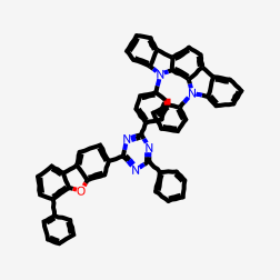 c1ccc(-c2nc(-c3ccc(-n4c5ccccc5c5ccc6c7ccccc7n(-c7ccccc7)c6c54)cc3)nc(-c3ccc4c(c3)oc3c(-c5ccccc5)cccc34)n2)cc1